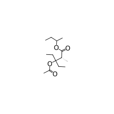 CCC(C)OC(=O)[C@H](C)C(CC)(CC)OC(C)=O